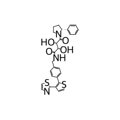 O=C(NCc1ccc(-c2sccc2-c2nccs2)cc1)[C@H](O)[C@@H](O)C(=O)N1CCC[C@@H]1c1ccccc1